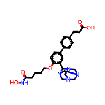 O=C(O)C=Cc1ccc(-c2ccc(OCCCCC(=O)NO)c(C3N4CN5CN(C4)CN3C5)c2)cc1